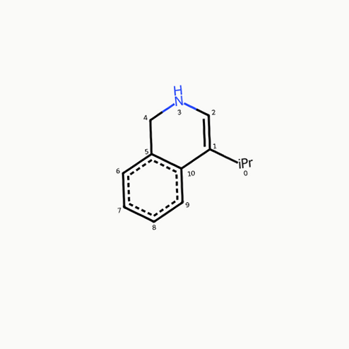 CC(C)C1=CNCc2ccccc21